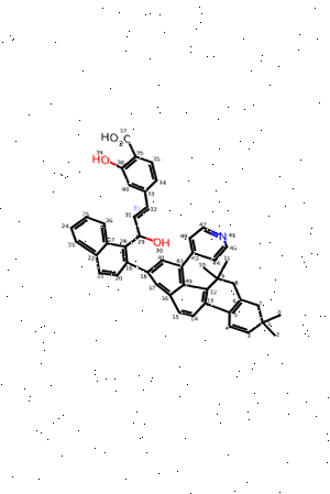 CC1(C)C=CC2=C(C1)CC(C)(C)c1c2ccc2cc(-c3ccc4ccccc4c3C(O)/C=C/c3ccc(C(=O)O)c(O)c3)cc(-c3ccncc3)c12